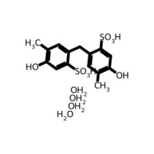 Cc1cc(Cc2cc(C)c(O)cc2S(=O)(=O)O)c(S(=O)(=O)O)cc1O.O.O.O.O